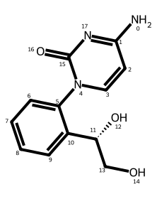 Nc1ccn(-c2ccccc2[C@H](O)CO)c(=O)n1